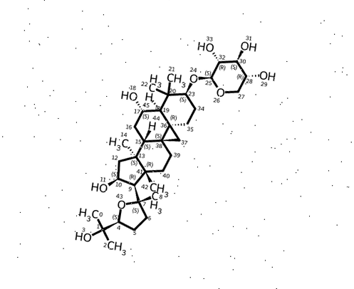 CC(C)(O)[C@@H]1CC[C@@](C)([C@H]2[C@@H](O)C[C@@]3(C)[C@@H]4C[C@H](O)[C@H]5C(C)(C)[C@@H](O[C@@H]6OC[C@@H](O)[C@H](O)[C@H]6O)CC[C@@]56C[C@@]46CC[C@]23C)O1